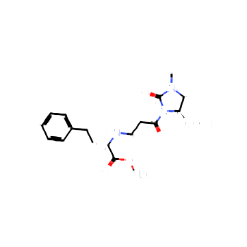 CCCCOC(=O)[C@H](CCc1ccccc1)NCCC(=O)N1C(=O)N(C)C[C@H]1C(=O)O